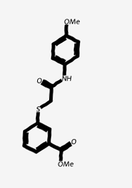 COC(=O)c1cccc(SCC(=O)Nc2ccc(OC)cc2)c1